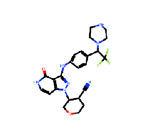 N#CC1CCOCC1n1nc(Nc2ccc(C(N3CCNCC3)C(F)(F)F)cc2)c2c(=O)[nH]ccc21